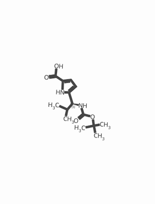 CC(C)[C@H](NC(=O)OC(C)(C)C)c1ccc(C(=O)O)[nH]1